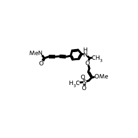 CNC(=O)C#CC#Cc1ccc(NC(C)OC/C=C(/CS(C)(=O)=O)OC)cc1